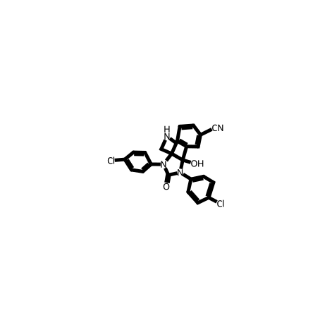 N#Cc1cccc(C2(O)N(c3ccc(Cl)cc3)C(=O)N(c3ccc(Cl)cc3)C23CNC3)c1